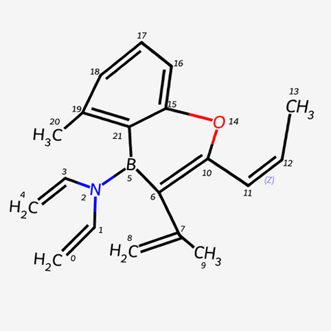 C=CN(C=C)B1C(C(=C)C)=C(/C=C\C)Oc2cccc(C)c21